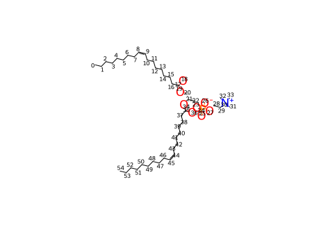 CCCCCCCC/C=C\CCCCCCCC(=O)OC[C@H](COP(=O)([O-])OCC[N+](C)(C)C)OC(=O)CCCCCCC/C=C\CCCCCCCCC